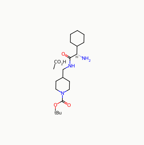 CC(=O)O.CC(C)(C)OC(=O)N1CCC(CNC(=O)[C@@H](N)C2CCCCC2)CC1